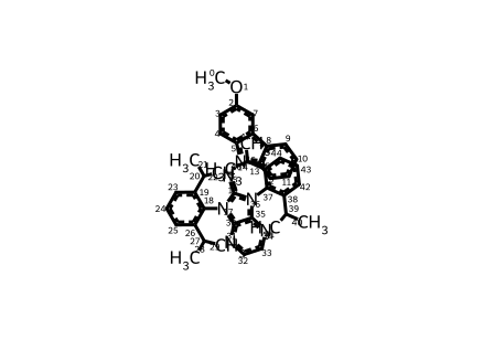 COc1ccc2c(c1)c1ccccc1n2N=c1n(-c2c(C(C)C)cccc2C(C)C)c2nccnc2n1-c1c(C(C)C)cccc1C(C)C